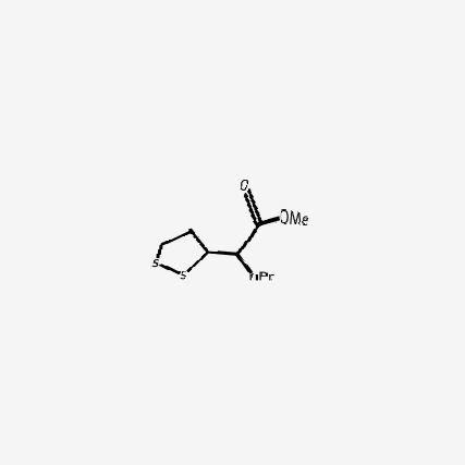 CCCC(C(=O)OC)C1CCSS1